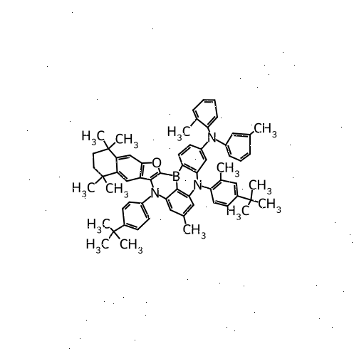 Cc1cccc(N(c2ccc3c(c2)N(c2ccc(C(C)(C)C)cc2C)c2cc(C)cc4c2B3c2oc3cc5c(cc3c2N4c2ccc(C(C)(C)C)cc2)C(C)(C)CCC5(C)C)c2ccccc2C)c1